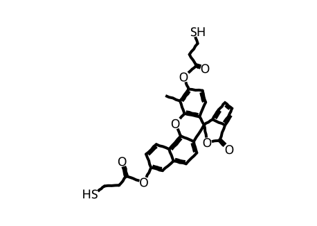 Cc1c(OC(=O)CCS)ccc2c1Oc1c(ccc3cc(OC(=O)CCS)ccc13)C21OC(=O)c2ccccc21